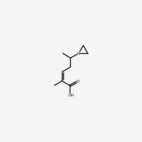 CC(=CCC(C)N1CC1)C(=O)O